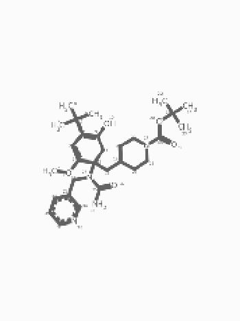 COC1=CC(C(C)(C)C)=C(O)CC1(CC1CCN(C(=O)OC(C)(C)C)CC1)N(Cc1cccnc1)C(N)=O